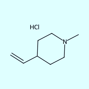 C=CC1CCN(C)CC1.Cl